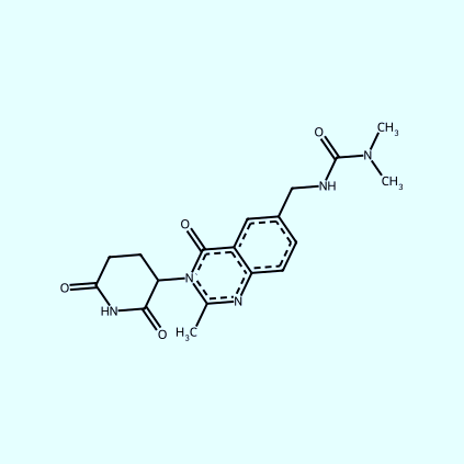 Cc1nc2ccc(CNC(=O)N(C)C)cc2c(=O)n1C1CCC(=O)NC1=O